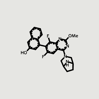 COc1nc(N2CC3CCC(C2)N3)c2cc(F)c(-c3cc(O)cc4ccccc34)c(F)c2n1